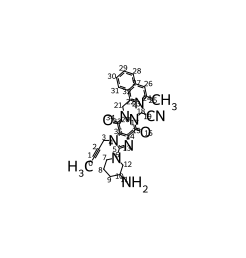 CC#CCn1c(N2CCCC(N)C2)nc2c(=O)n(CC#N)n(Cc3nc(C)cc4ccccc34)c(=O)c21